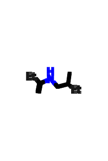 C=C(CC)NC[C@@H](C)CC